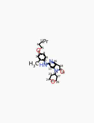 Cc1cc(OCCC(C)C)ccc1Nc1cc2c(cn1)CC(=O)N2C1CCOCC1